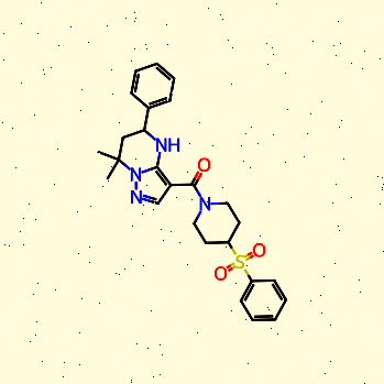 CC1(C)CC(c2ccccc2)Nc2c(C(=O)N3CCC(S(=O)(=O)c4ccccc4)CC3)cnn21